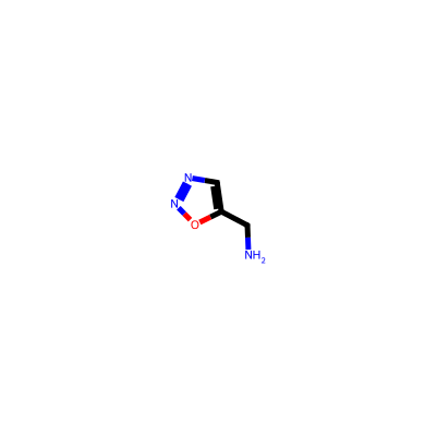 NCc1cnno1